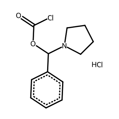 Cl.O=C(Cl)OC(c1ccccc1)N1CCCC1